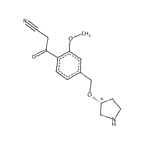 COc1cc(CO[C@@H]2CCNC2)ccc1C(=O)CC#N